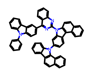 c1ccc(-n2c3ccccc3c3cc(-c4nc(-n5c6cc(-n7c8ccccc8c8ccc9ccccc9c87)ccc6c6c7ccccc7ccc65)nc5ccccc45)ccc32)cc1